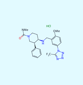 CNC(=O)N1CC[C@@H](NCc2cc(-n3nnnc3C(F)(F)F)ccc2OC)[C@@H](c2ccccc2)C1.Cl